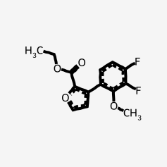 CCOC(=O)c1occc1-c1ccc(F)c(F)c1OC